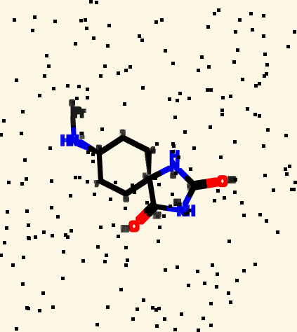 CC(C)N[C@H]1CC[C@]2(CC1)NC(=O)NC2=O